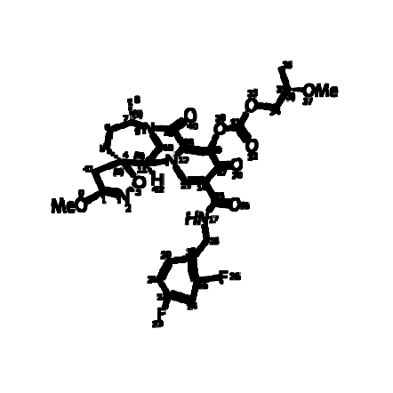 COC1=NO[C@@]2(CC[C@H](C)N3C[C@H]2n2cc(C(=O)NCc4ccc(F)cc4F)c(=O)c(OC(=O)OC[C@H](C)OC)c2C3=O)C1